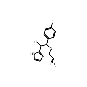 C=CCOC(c1ccc(Cl)cc1)C(Cl)c1ncc[nH]1